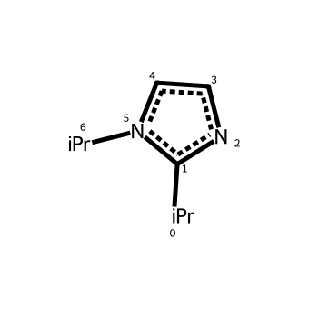 CC(C)c1nccn1C(C)C